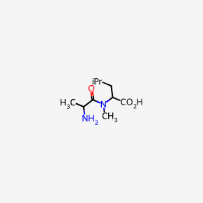 CC(C)CC(C(=O)O)N(C)C(=O)C(C)N